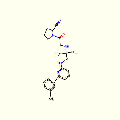 Cc1cccc(-c2cccc(NCC(C)(C)NCC(=O)N3CCC[C@H]3C#N)n2)c1